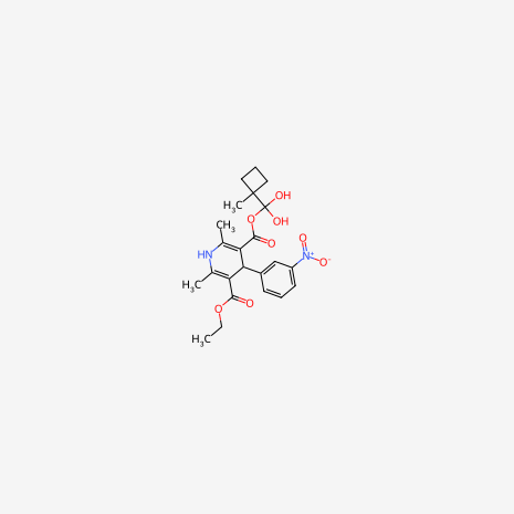 CCOC(=O)C1=C(C)NC(C)=C(C(=O)OC(O)(O)C2(C)CCC2)C1c1cccc([N+](=O)[O-])c1